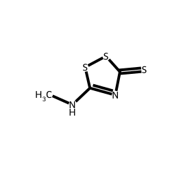 CNc1nc(=S)ss1